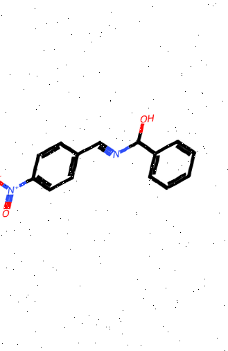 O=[N+]([O-])c1ccc(C=NC(O)c2ccccc2)cc1